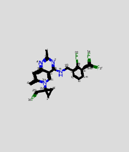 C=C1C=c2nc(C)nc(NCc3cccc(C(F)F)c3F)c2=CN1C1(CF)CC1